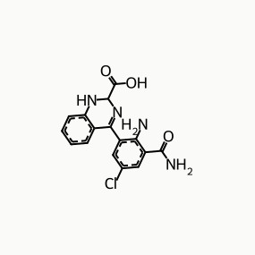 NC(=O)c1cc(Cl)cc(C2=NC(C(=O)O)Nc3ccccc32)c1N